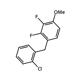 COc1ccc(Cc2ccc[c]c2Cl)c(F)c1F